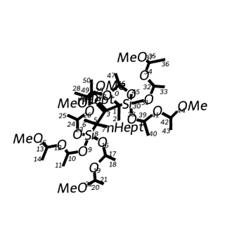 CCCCCCCC(C)(C(=O)C(C)(CCCCCCC)[Si](OC(C)OC(C)OC)(OC(C)OC(C)OC)OC(C)OC(C)OC)[Si](OC(C)OC(C)OC)(OC(C)OC(C)OC)OC(C)OC(C)OC